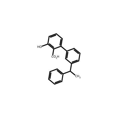 CC(c1ccccc1)c1cccc(-c2cccc(O)c2C(=O)O)c1